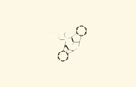 CC[Si]1(CC)C2=C(C)[CH]([Zr+2][CH]3C(C)=C1c1ccccc13)c1ccccc12.[Br-].[Br-]